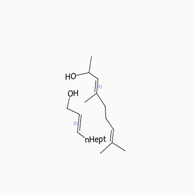 CC(C)=CCC/C(C)=C/C(C)O.CCCCCCC/C=C/CO